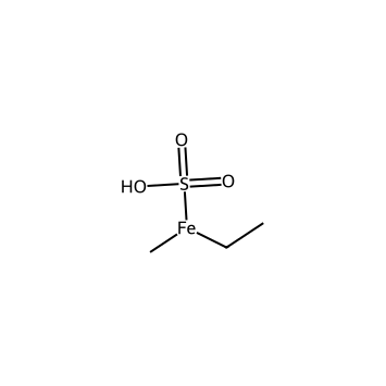 C[CH2][Fe]([CH3])[S](=O)(=O)O